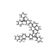 CC1(C)c2ccccc2-c2ccc(-c3ccc4c(c3)c3c5ccc6c(-c7ccc(N(c8ccccc8)c8ccccc8)cc7)ccc7ccc(cc3n4-c3ccccc3)c5c76)cc21